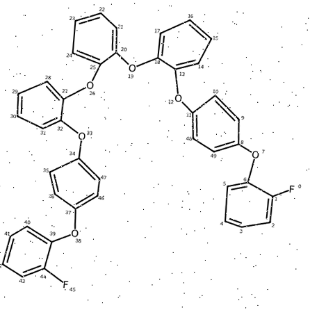 Fc1ccccc1Oc1ccc(Oc2ccccc2Oc2ccccc2Oc2ccccc2Oc2ccc(Oc3ccccc3F)cc2)cc1